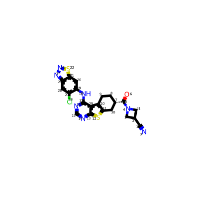 N#CC1CN(C(=O)[C@H]2CCc3c(sc4ncnc(Nc5cc6snnc6cc5Cl)c34)C2)C1